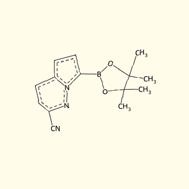 CC1(C)OB(c2ccc3ccc(C#N)nn23)OC1(C)C